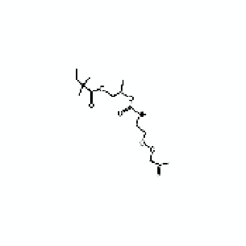 C=C(C)COOCCNC(=O)OC(C)COC(=O)C(C)(C)CC